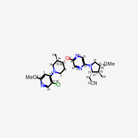 COc1cc(N2CC[C@@H](Oc3cnc(N4C[C@H](OC)[C@@H](C)[C@@H]4CC#N)cn3)[C@H](C)C2)c(Cl)cn1